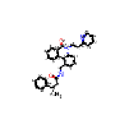 C[C@H](CC(=O)NCc1ccccc1-c1ccccc1C(=O)NCCc1ccccn1)c1ccccc1